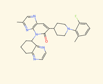 Cc1cnc2cc(C3CCN(c4c(C)cccc4F)CC3)c(=O)n(C3CCCc4nccnc43)c2n1